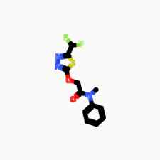 CN(C(=O)COc1nnc(C(F)F)s1)c1ccccc1